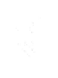 NC1CCC(Nc2nc(NC3CCN(C(=O)c4ccc5c(c4)OCO5)CC3)c3ncn(C4CCCC4)c3n2)CC1